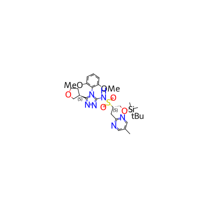 COc1cccc(OC)c1-n1c(NS(=O)(=O)[C@H](CO[Si](C)(C)C(C)(C)C)Cc2ncc(C)cn2)nnc1[C@@H]1CCOC1